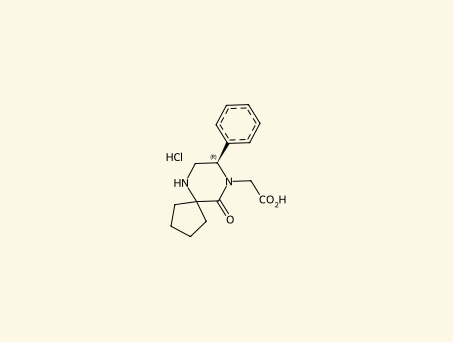 Cl.O=C(O)CN1C(=O)C2(CCCC2)NC[C@H]1c1ccccc1